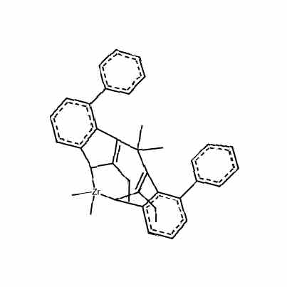 CCC1=C2c3c(-c4ccccc4)cccc3[CH]1[Zr]([CH3])([CH3])[CH]1C(CC)=C(c3c(-c4ccccc4)cccc31)C2(C)C